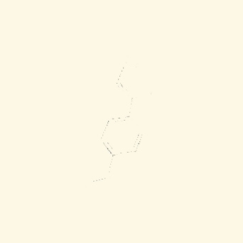 CC=C(C)c1ccc(OC)cc1